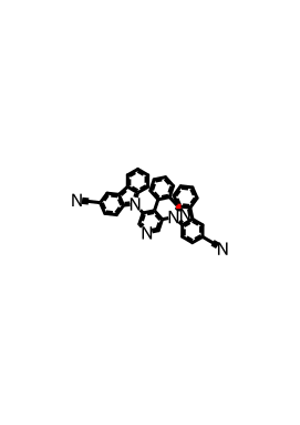 N#Cc1ccc2c(c1)c1ccccc1n2-c1cncc(-n2c3ccccc3c3cc(C#N)ccc32)c1-c1ccccc1C#N